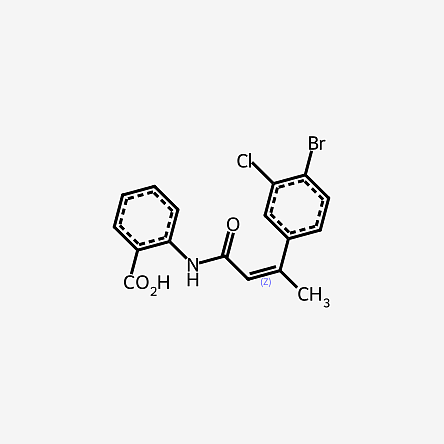 C/C(=C/C(=O)Nc1ccccc1C(=O)O)c1ccc(Br)c(Cl)c1